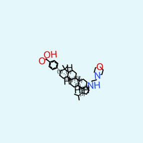 CC(C)[C@@H]1CC[C@]2(NCCN3CCOCC3)CC[C@]3(C)[C@H](CC[C@@H]4[C@@]5(C)CC[C@H](c6ccc(C(=O)O)cc6)C(C)(C)[C@@H]5CC[C@]43C)[C@@H]12